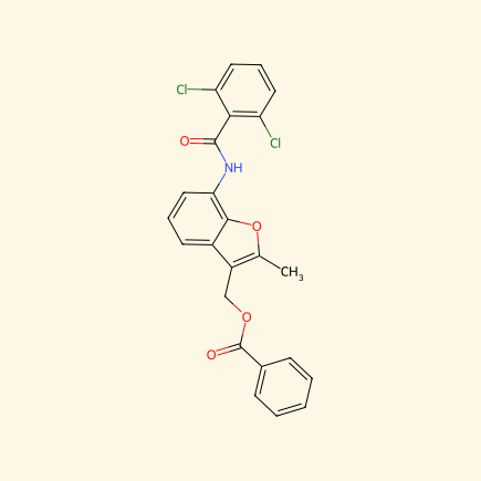 Cc1oc2c(NC(=O)c3c(Cl)cccc3Cl)cccc2c1COC(=O)c1ccccc1